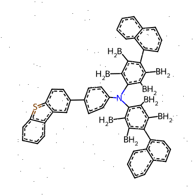 Bc1c(B)c(N(c2ccc(-c3ccc4sc5ccccc5c4c3)cc2)c2c(B)c(B)c(-c3cccc4ccccc34)c(B)c2B)c(B)c(B)c1-c1cccc2ccccc12